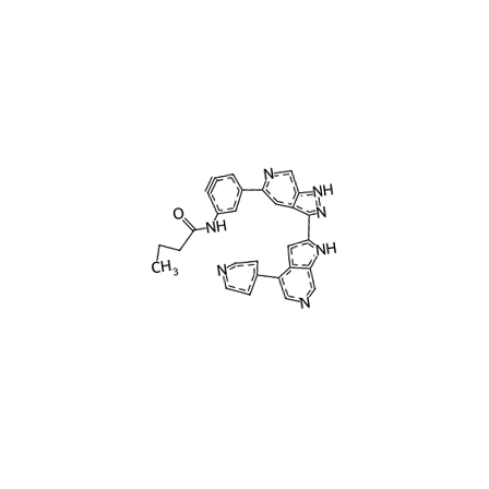 CCCC(=O)Nc1c#ccc(-c2cc3c(-c4cc5c(-c6ccncc6)cncc5[nH]4)n[nH]c3cn2)c1